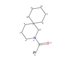 CC(C)C(=O)N1CCCC2(CCCCC2)C1